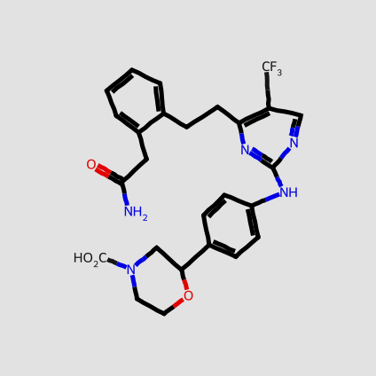 NC(=O)Cc1ccccc1CCc1nc(Nc2ccc(C3CN(C(=O)O)CCO3)cc2)ncc1C(F)(F)F